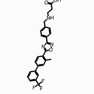 Cc1cc(-c2cccc(C(F)(F)F)c2)ccc1-c1nc(-c2ccc(CNCCC(=O)O)cc2)no1